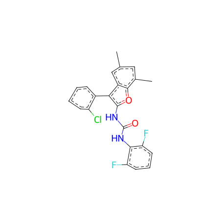 Cc1cc(C)c2oc(NC(=O)Nc3c(F)cccc3F)c(-c3ccccc3Cl)c2c1